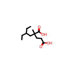 CCC(CC)CC(C)(CCC(=O)O)C(=O)O